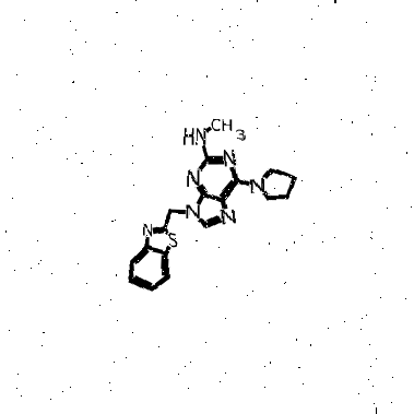 CNc1nc(N2CCCC2)c2ncn(Cc3nc4ccccc4s3)c2n1